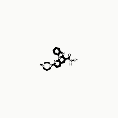 CC(C)NC(=O)c1cc2ccc(N3CCCN(C)CC3)nc2n2c1nc1ccccc12